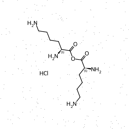 Cl.NCCCC[C@H](N)C(=O)OC(=O)[C@@H](N)CCCCN